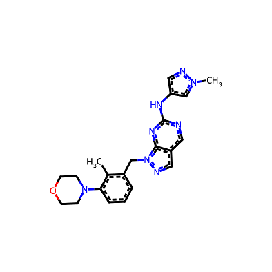 Cc1c(Cn2ncc3cnc(Nc4cnn(C)c4)nc32)cccc1N1CCOCC1